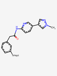 CCCCCCCc1cccc(CC(=O)Nc2ccc(-c3cnn(C)c3)cn2)c1